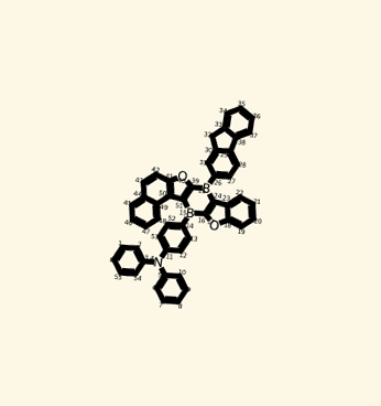 c1ccc(N(c2ccccc2)c2ccc(B3c4oc5ccccc5c4B(c4ccc5c(c4)Cc4ccccc4-5)c4oc5ccc6ccccc6c5c43)cc2)cc1